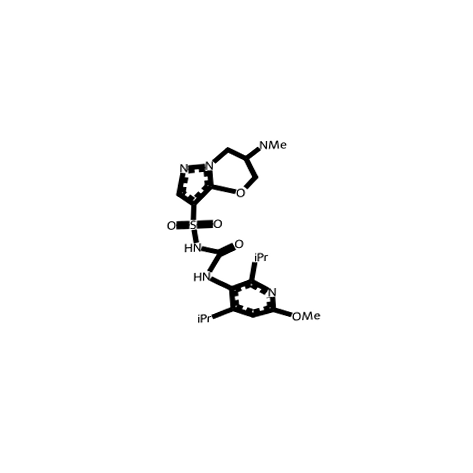 CNC1COc2c(S(=O)(=O)NC(=O)Nc3c(C(C)C)cc(OC)nc3C(C)C)cnn2C1